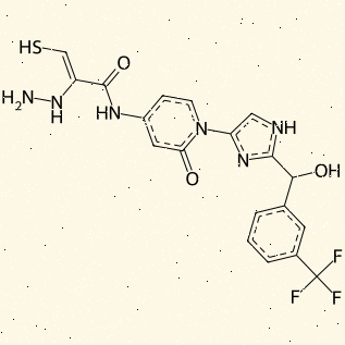 NN/C(=C\S)C(=O)Nc1ccn(-c2c[nH]c(C(O)c3cccc(C(F)(F)F)c3)n2)c(=O)c1